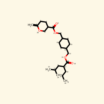 C=C1CCC(C(=O)OCC2CCC(COC(=O)C(CCC)CC(C)C)CC2)CO1